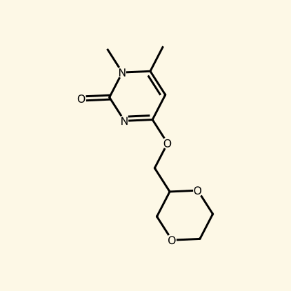 Cc1cc(OCC2COCCO2)nc(=O)n1C